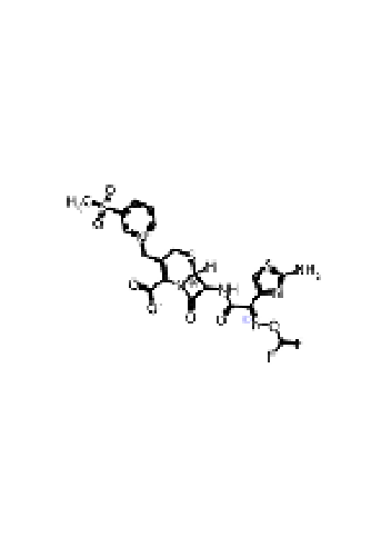 CS(=O)(=O)c1ccc[n+](CC2=C(C(=O)[O-])N3C(=O)C(NC(=O)/C(=N/OC(F)F)c4csc(N)n4)[C@H]3SC2)c1